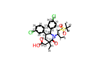 CCC(CS(=O)(=O)C(C)(C)C)N1C(=O)C(CC)(CC(=O)O)CC(c2cccc(Cl)c2)C1c1ccc(Cl)cc1